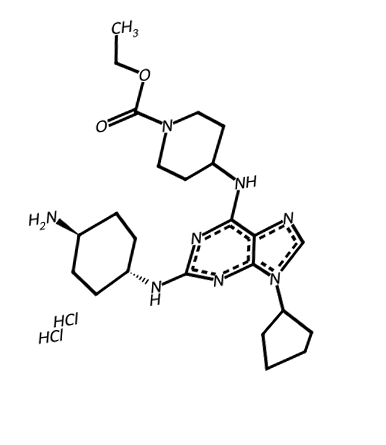 CCOC(=O)N1CCC(Nc2nc(N[C@H]3CC[C@H](N)CC3)nc3c2ncn3C2CCCC2)CC1.Cl.Cl